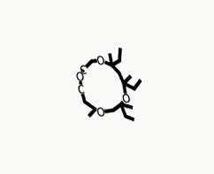 CCC1(C)CC(C)(CC)OC(C)(CC)COC(C)CCOCCO1